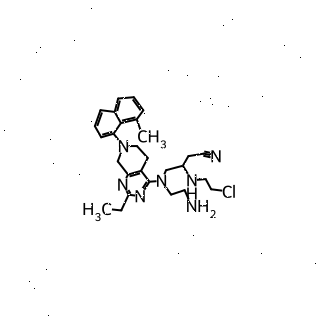 CCc1nc2c(c(N(CCN)CC(CC#N)NCCCl)n1)CCN(c1cccc3cccc(C)c13)C2